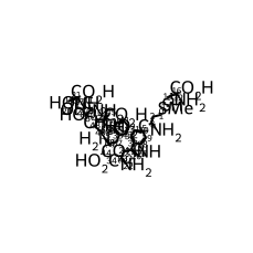 CSCCC(N)C(=O)O.C[C@@H](O)[C@H](N)C(=O)O.NC(CS)C(=O)O.N[C@@H](CO)C(=O)O.N[C@@H](Cc1c[nH]c2ccccc12)C(=O)O.N[C@@H](Cc1ccccc1)C(=O)O.O=C(O)C1CCCN1